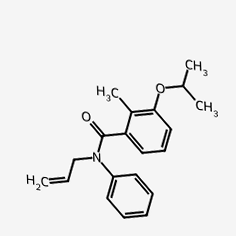 C=CCN(C(=O)c1cccc(OC(C)C)c1C)c1ccccc1